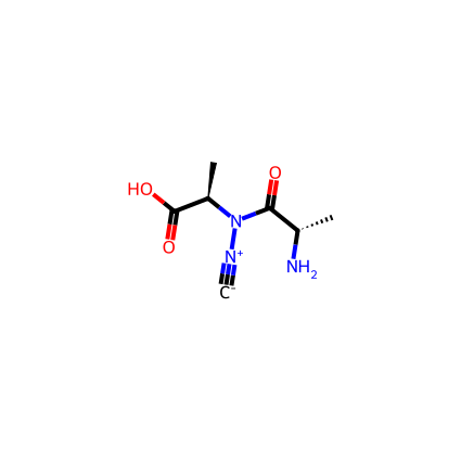 [C-]#[N+]N(C(=O)[C@H](C)N)[C@H](C)C(=O)O